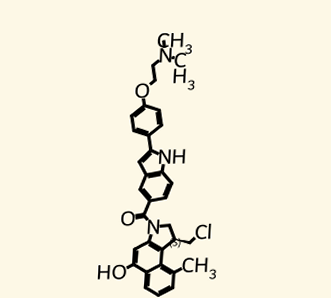 Cc1cccc2c(O)cc3c(c12)[C@H](CCl)CN3C(=O)c1ccc2[nH]c(-c3ccc(OCCN(C)C)cc3)cc2c1